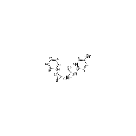 S=C(Nc1ccc(Br)cn1)NC1CC1c1ccccc1